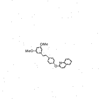 COc1cc(/C=C/c2ccc(Oc3ccc4ccccc4n3)cc2)cc(OC)c1